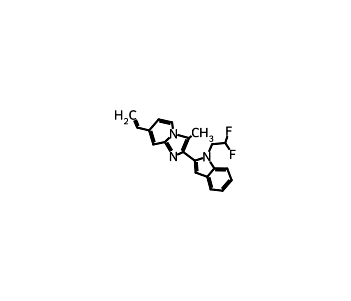 C=Cc1ccn2c(C)c(-c3cc4ccccc4n3CC(F)F)nc2c1